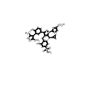 Cc1noc(C)c1-c1cc(-c2nn(-c3nc(C(=O)O)cs3)c(CC3CC3)c2Cc2ccc(S(N)(=O)=O)cc2F)ccc1F